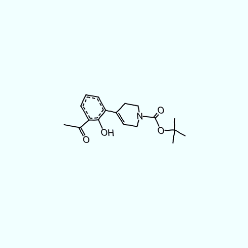 CC(=O)c1cccc(C2=CCN(C(=O)OC(C)(C)C)CC2)c1O